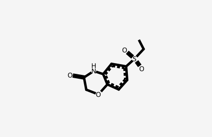 CCS(=O)(=O)c1ccc2c(c1)NC(=O)CO2